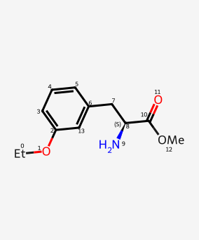 CCOc1cccc(C[C@H](N)C(=O)OC)c1